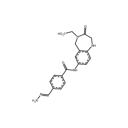 NN=Cc1ccc(C(=O)Nc2ccc3c(c2)CN(CC(=O)O)C(=O)CN3)cc1